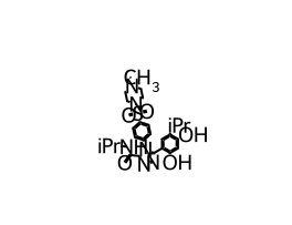 CC(C)NC(=O)c1nnc(-c2cc(C(C)C)c(O)cc2O)n1-c1ccc(S(=O)(=O)N2CCN(C)CC2)cc1